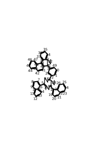 c1cc(-c2nc(-c3cccc4ccccc34)nc(-c3cccc4ccccc34)n2)cc(-c2nc3ccccc3c3c2ccc2ccccc23)c1